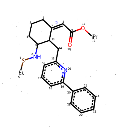 CCSNC1CCC/C(=C/C(=O)OC(C)C)C1Cc1cccc(-c2ccccc2)n1